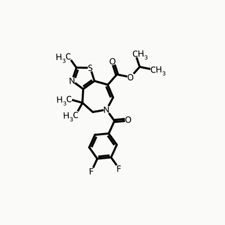 Cc1nc2c(s1)C(C(=O)OC(C)C)=CN(C(=O)c1ccc(F)c(F)c1)CC2(C)C